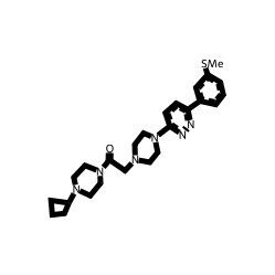 CSc1cccc(-c2ccc(N3CCN(CC(=O)N4CCN(C5CCC5)CC4)CC3)nn2)c1